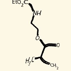 [CH2]COC(=O)NCCOC(=O)C(=C)C